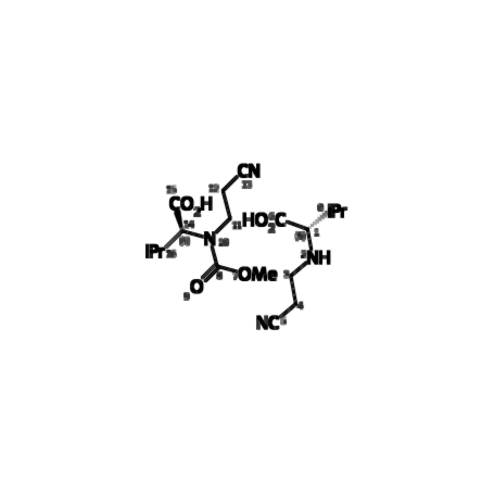 CC(C)[C@H](NCCC#N)C(=O)O.COC(=O)N(CCC#N)[C@H](C(=O)O)C(C)C